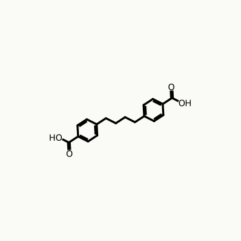 O=C(O)c1ccc(CCCCc2ccc(C(=O)O)cc2)cc1